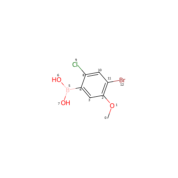 COc1cc(B(O)O)c(Cl)cc1Br